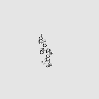 CS(=O)(=O)CCN(Cc1cccc(Nc2nccc(-c3c(-c4cccc(NC(=O)c5cc(F)ccc5F)c4)nn4ccccc34)n2)c1)C(=O)C(F)(F)F